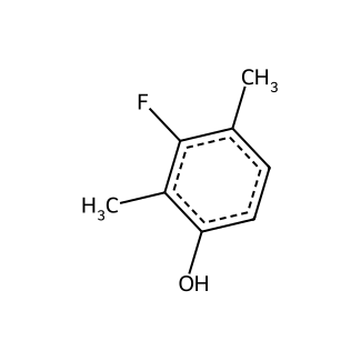 Cc1ccc(O)c(C)c1F